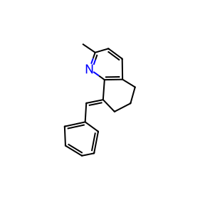 Cc1ccc2c(n1)C(=Cc1ccccc1)CCC2